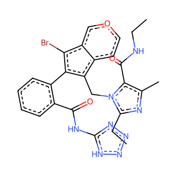 CCNC(=O)c1c(C)nc(CC)n1Cc1c2ccocc-2c(Br)c1-c1ccccc1C(=O)Nc1nnn[nH]1